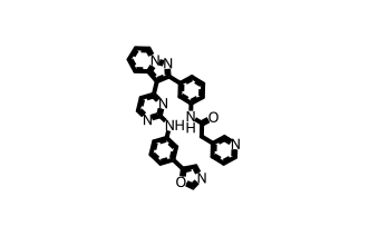 O=C(Cc1cccnc1)Nc1cccc(-c2nn3ccccc3c2-c2ccnc(Nc3cccc(-c4cnco4)c3)n2)c1